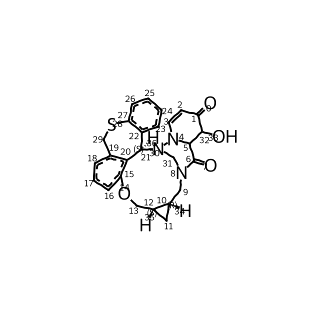 O=C1C=CN2C(C(=O)N3C[C@@H]4C[C@@H]4COc4cccc5c4[C@@H](c4ccccc4SC5)N2C3)C1O